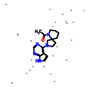 CC(=O)N1CCCCC12CCN(c1ncnc3[nH]ccc13)C2